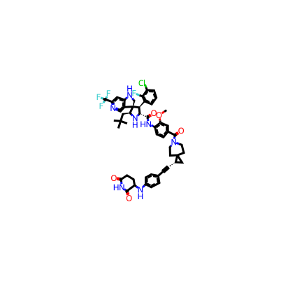 COc1cc(C(=O)N2CCC3(CC2)C[C@@H]3C#Cc2ccc(NC3CCC(=O)NC3=O)cc2)ccc1NC(=O)[C@@H]1N[C@@H](CC(C)(C)C)[C@@]2(CNc3cc(C(F)(F)F)ncc32)[C@H]1c1cccc(Cl)c1F